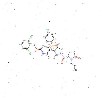 N#CCCN1C(=O)CC[C@H]1C(=O)N1CCC2(S(=O)(=O)c3ccc(F)cc3)c3ccc(OCc4c(Cl)cccc4Cl)nc3CCC12